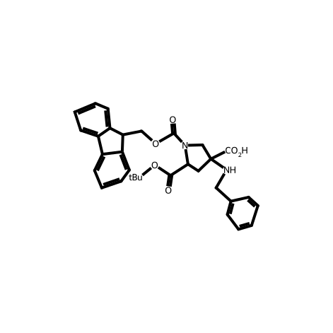 CC(C)(C)OC(=O)C1CC(NCc2ccccc2)(C(=O)O)CN1C(=O)OCC1c2ccccc2-c2ccccc21